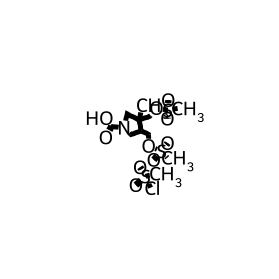 CC1(COS(C)(=O)=O)CN(C(=O)O)CC1COS(C)(=O)=O.CS(=O)(=O)Cl